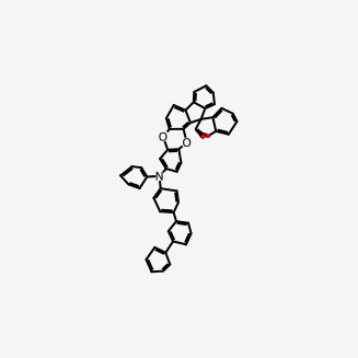 c1ccc(-c2cccc(-c3ccc(N(c4ccccc4)c4ccc5c(c4)Oc4ccc6c(c4O5)C4(c5ccccc5-c5ccccc54)c4ccccc4-6)cc3)c2)cc1